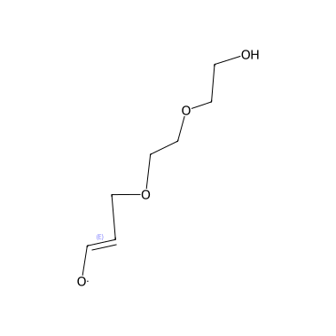 [O]/C=C/COCCOCCO